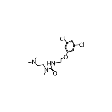 CN(C)CCN(C)C(=O)NCCOc1cc(Cl)cc(Cl)c1